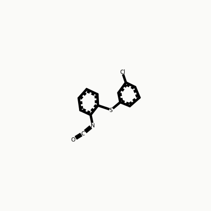 O=C=Nc1ccccc1Sc1cccc(Cl)c1